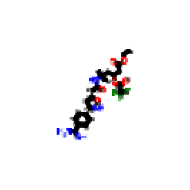 CCOC(=O)CC(CC(C)(C)NC(=O)C[C@H]1C[C@@H](c2ccc(C(=N)N)cc2)NO1)OC(=O)C(F)(F)F